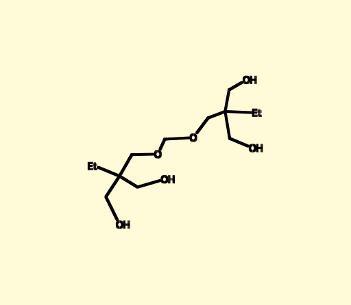 CCC(CO)(CO)COCOCC(CC)(CO)CO